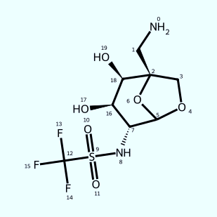 NC[C@@]12COC(O1)[C@H](NS(=O)(=O)C(F)(F)F)[C@@H](O)[C@H]2O